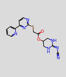 N#CN=C1NCC(OC(=O)CSc2nccc(-c3ccccn3)n2)CN1